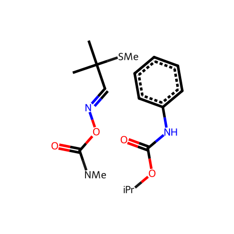 CC(C)OC(=O)Nc1ccccc1.CNC(=O)O/N=C/C(C)(C)SC